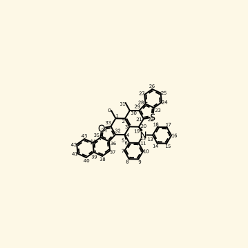 CC1C2=C3C(C)(c4ccccc4N(c4ccccc4)C3(C)c3sc4ccccc4c3C2C)c2c1oc1c2ccc2ccccc21